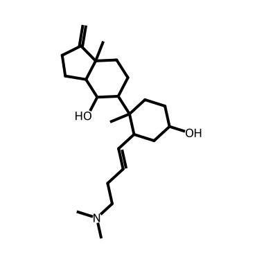 C=C1CCC2C(O)C(C3(C)CCC(O)CC3C=CCCN(C)C)CCC12C